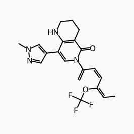 C=C(/C=C\C(=C/C)OC(F)(F)F)n1cc(-c2cnn(C)c2)c2c(c1=O)CCCN2